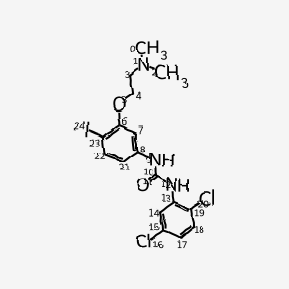 CN(C)CCOc1cc(NC(=O)Nc2cc(Cl)ccc2Cl)ccc1I